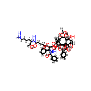 CNCCCCC(NC(=O)CCCC(=O)O[C@H](C(=O)OC1C[C@]2(O)[C@H](OC(=O)c3ccccc3)[C@H]3[C@@]4(OC(C)=O)CO[C@H]4C[C@@H](O)[C@]3(C)C(=O)[C@@H](OC(C)=O)[C@@H](C1C)C2(C)C)[C@H](NC(=O)c1ccccc1)c1ccccc1)C(C)=O